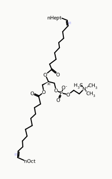 CCCCCCC/C=C\CCCCCCCC(=O)O[C@H](COC(=O)CCCCCCCCC/C=C\CCCCCCCC)COP(=O)([O-])OCC[N+](C)(C)C